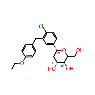 CCOc1ccc(Cc2cc([C@H]3C[C@@H](O)[C@H](O)C(CO)O3)ccc2Cl)cc1